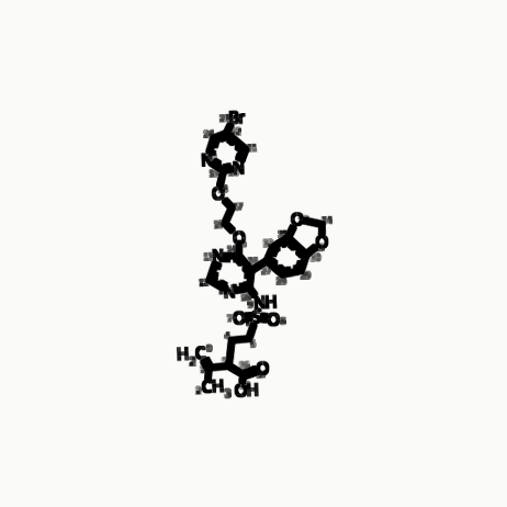 C=C(C)C(CCS(=O)(=O)Nc1ncnc(OCCOc2ncc(Br)cn2)c1-c1ccc2c(c1)OCO2)C(=O)O